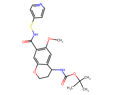 COc1cc2c(cc1C(=O)NSc1ccncc1)OCCC2NC(=O)OC(C)(C)C